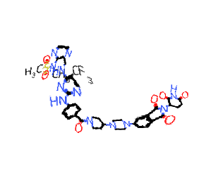 CN(c1nccnc1CNc1nc(Nc2ccc(C(=O)N3CCC(N4CCN(c5ccc6c(c5)C(=O)N(C5CCC(=O)NC5=O)C6=O)CC4)CC3)cc2)ncc1C(F)(F)F)S(C)(=O)=O